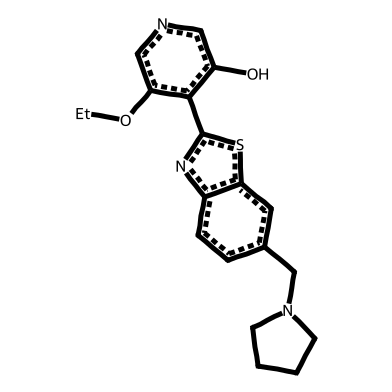 CCOc1cncc(O)c1-c1nc2ccc(CN3CCCC3)cc2s1